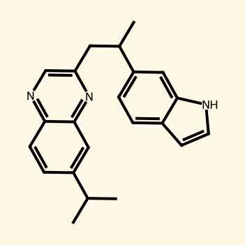 CC(C)c1ccc2ncc(CC(C)c3ccc4cc[nH]c4c3)nc2c1